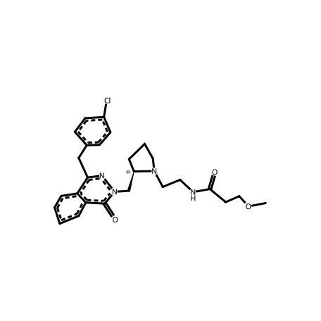 COCCC(=O)NCCN1CCC[C@@H]1Cn1nc(Cc2ccc(Cl)cc2)c2ccccc2c1=O